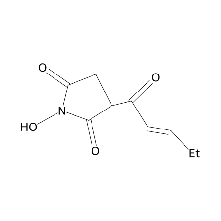 CCC=CC(=O)C1CC(=O)N(O)C1=O